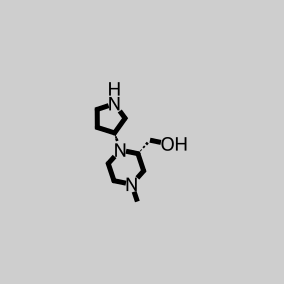 CN1CCN([C@@H]2CCNC2)[C@H](CO)C1